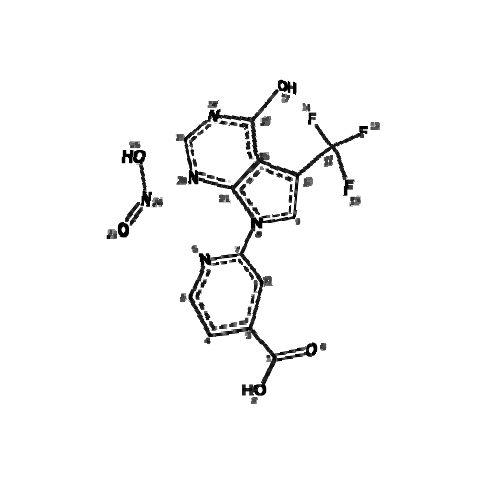 O=C(O)c1ccnc(-n2cc(C(F)(F)F)c3c(O)ncnc32)c1.O=NO